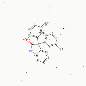 COc1ccc(C(C)C)cc1C1(c2cc(C(C)C)ccc2O)C(=O)Nc2ccccc21